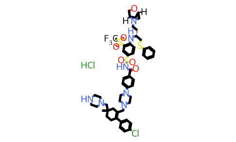 CC1(CN2CCNCC2)CCC(c2ccc(Cl)cc2)=C(CN2CCN(c3ccc(C(=O)NS(=O)(=O)c4ccc(N[C@H](CCN5C[C@@H]6C[C@H]5CO6)CSc5ccccc5)c(S(=O)(=O)C(F)(F)F)c4)cc3)CC2)C1.Cl